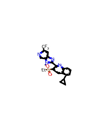 CCS(=O)(=O)c1cc2c(C3CC3)cccc2nc1-c1nc2cc(C(F)(F)F)ncc2n1C